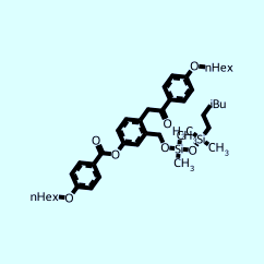 CCCCCCOc1ccc(C(=O)Cc2ccc(OC(=O)c3ccc(OCCCCCC)cc3)cc2CO[Si](C)(C)O[Si](C)(C)CCC(C)CC)cc1